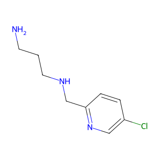 NCCCNCc1ccc(Cl)cn1